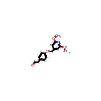 COc1cc(COc2ccc(C[C]=O)cc2)cc(OC)n1